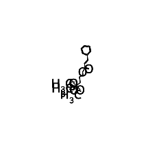 CO[Si](CCCOC(=O)/C=C/c1ccccc1)(OC)OC